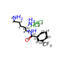 Cl.Cl.NCCC[C@H](N)CNC(=O)c1cccc(C(F)(F)F)c1